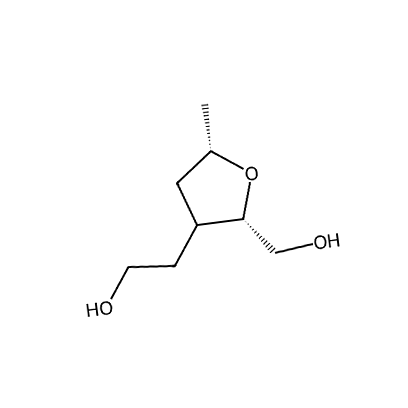 C[C@H]1CC(CCO)[C@@H](CO)O1